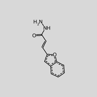 NNC(=O)C=Cc1cc2ccccc2o1